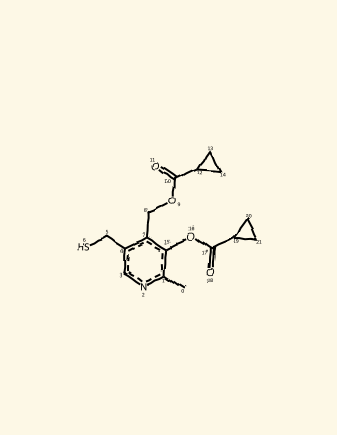 Cc1ncc(CS)c(COC(=O)C2CC2)c1OC(=O)C1CC1